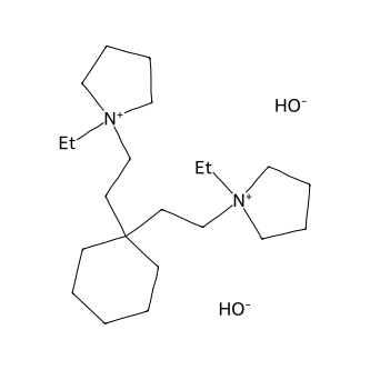 CC[N+]1(CCC2(CC[N+]3(CC)CCCC3)CCCCC2)CCCC1.[OH-].[OH-]